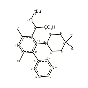 Cc1nc(C)c(C(OC(C)(C)C)C(=O)O)c(N2CCC(C)(C)CC2)c1-c1cncnc1